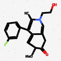 COC1C=C2C(=CN(CCO)C(C#N)=C2c2cccc(F)c2)CC1=O